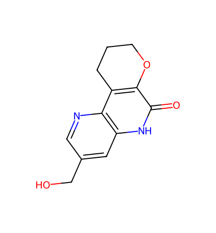 O=c1[nH]c2cc(CO)cnc2c2c1OCCC2